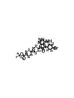 CC(C)(C)OC(=O)N1CCC(N2CCC(n3c(=O)n(-c4ccc(Br)cc4)c4c(N)ncnc43)CC2)CC1